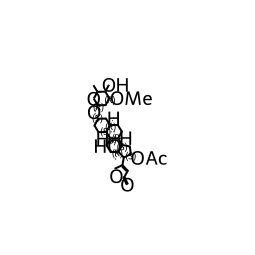 CO[C@@H]1C[C@H](O[C@H]2CC[C@@]3(C)[C@H](CC[C@@H]4[C@@H]3CC[C@]3(C)C(C5=CC(=O)OC5)[C@@H](OC(C)=O)C[C@]43O)C2)OC(C)C1O